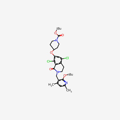 CCCCOc1nc(C)cc(C)c1CN1CCc2c(Cl)cc(OC3CCN(C(=O)OC(C)(C)C)CC3)c(Cl)c2C1=O